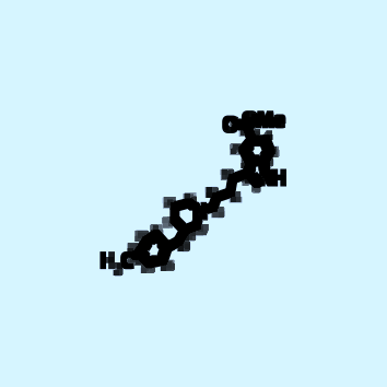 COC(=O)c1ccc2[nH]cc(CCCCN3CCCC(Cc4ccc(C)cc4)C3)c2c1